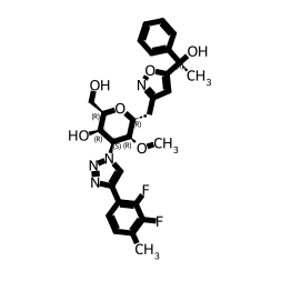 CO[C@@H]1[C@@H](n2cc(-c3ccc(C)c(F)c3F)nn2)[C@@H](O)[C@@H](CO)O[C@@H]1Cc1cc([C@](C)(O)c2ccccc2)on1